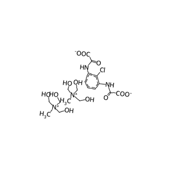 C[N+](CO)(CO)CO.C[N+](CO)(CO)CO.O=C([O-])C(=O)Nc1cccc(NC(=O)C(=O)[O-])c1Cl